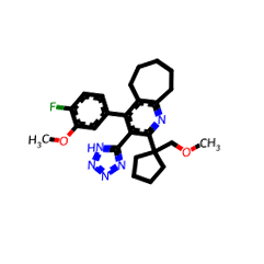 COCC1(c2nc3c(c(-c4ccc(F)c(OC)c4)c2-c2nnn[nH]2)CCCCC3)CCCC1